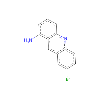 Nc1cccc2nc3ccc(Br)cc3cc12